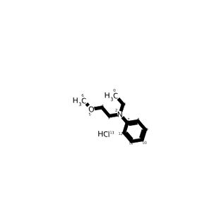 CCN(CCOC)c1ccccc1.Cl